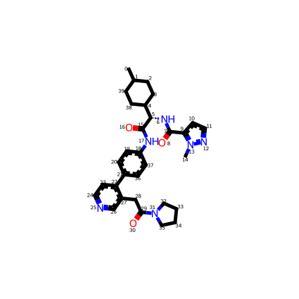 CC1CCC([C@H](NC(=O)c2ccnn2C)C(=O)Nc2ccc(-c3ccncc3CC(=O)N3CCCC3)cc2)CC1